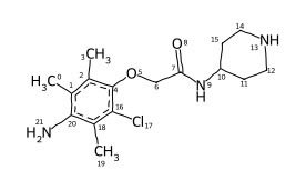 Cc1c(C)c(OCC(=O)NC2CCNCC2)c(Cl)c(C)c1N